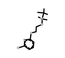 CC(C)(C)[Si](C)(C)OCCOc1cccc(Cl)n1